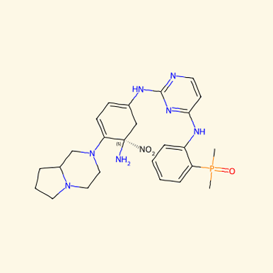 CP(C)(=O)c1ccccc1Nc1ccnc(NC2=CC=C(N3CCN4CCCC4C3)[C@@](N)([N+](=O)[O-])C2)n1